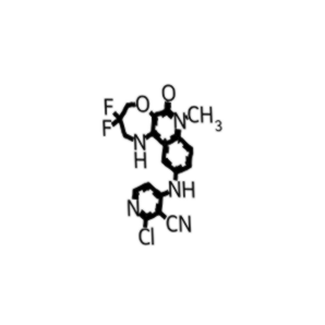 Cn1c(=O)c2c(c3cc(Nc4ccnc(Cl)c4C#N)ccc31)NCC(F)(F)CO2